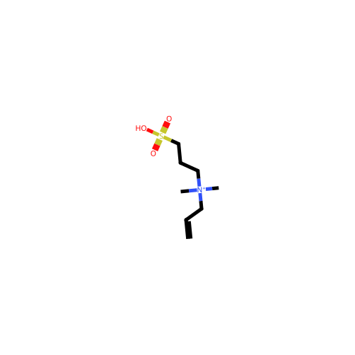 C=CC[N+](C)(C)CCCS(=O)(=O)O